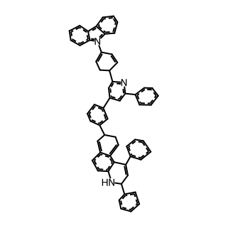 C1=CC(c2cc(-c3cccc(C4C=c5ccc6c(c5=CC4)C(c4ccccc4)=CC(c4ccccc4)N6)c3)cc(-c3ccccc3)n2)CC=C1n1c2ccccc2c2ccccc21